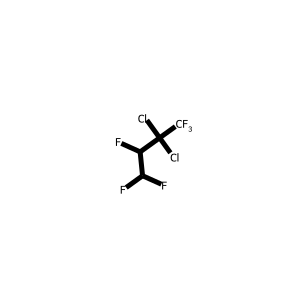 FC(F)C(F)C(Cl)(Cl)C(F)(F)F